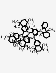 Cc1cc(N2C3=C(CCC=C3)C3(C)CCCCC23C)cc2c1B(c1cc3c(cc1C(C)c1ccc4c(c1)C(C)(C)CCC4(C)C)C(C)(C)CCC3(C)C)c1cc3c(cc1N2c1ccc2c(c1)C(C)(C)CCC2(C)C)C(C)(C)CCC3(C)C